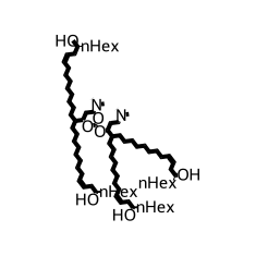 CCCCCC[C@@H](O)C/C=C\CCCCCCCCC(CCCCCCCC/C=C\C[C@H](O)CCCCCC)C(CCN(C)C)OC(=O)OC(CCN(C)C)C(CCCCCCCC/C=C\C[C@H](O)CCCCCC)CCCCCCCC/C=C\C[C@H](O)CCCCCC